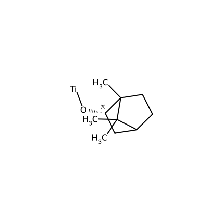 CC1(C)C2CCC1(C)[C@@H]([O][Ti])C2